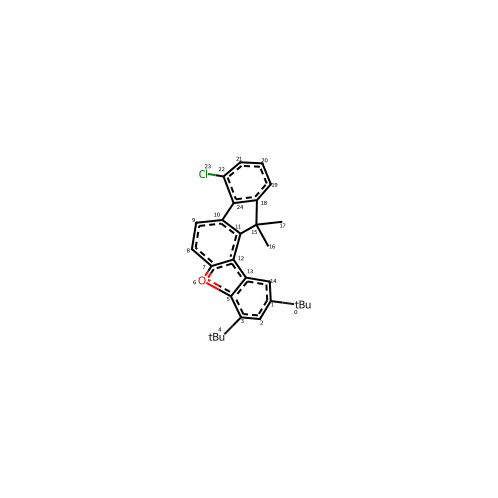 CC(C)(C)c1cc(C(C)(C)C)c2oc3ccc4c(c3c2c1)C(C)(C)c1cccc(Cl)c1-4